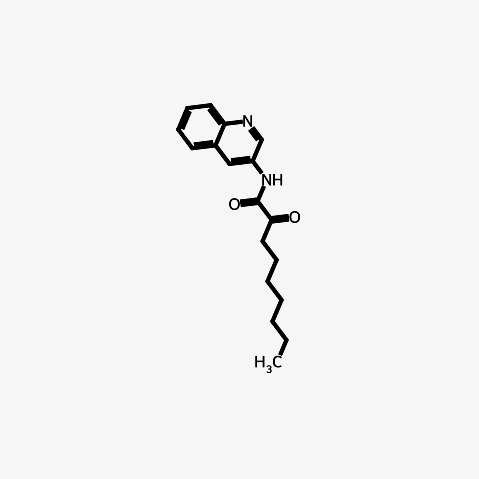 CCCCCCCC(=O)C(=O)Nc1cnc2ccccc2c1